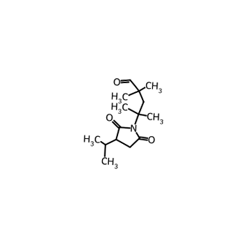 CC(C)C1CC(=O)N(C(C)(C)CC(C)(C)C=O)C1=O